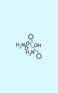 NC(=O)OC(Cc1ccccc1)CC(O)C(N)Cc1ccccc1